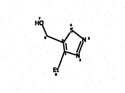 CCc1nnsc1CO